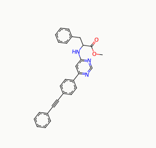 COC(=O)C(Cc1ccccc1)Nc1cc(-c2ccc(C#Cc3ccccc3)cc2)ncn1